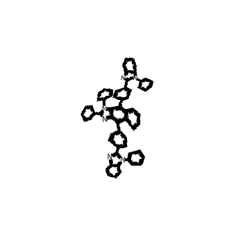 c1ccc(-c2nc3c(-c4ccc(-c5nc6ccccc6n5-c5ccccc5)cc4)c4ccccc4c(-c4ccc(-c5nc6ccccc6n5-c5ccccc5)cc4)c3n2-c2ccccc2)cc1